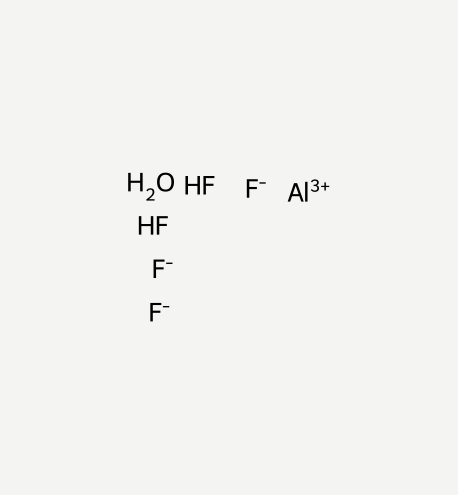 F.F.O.[Al+3].[F-].[F-].[F-]